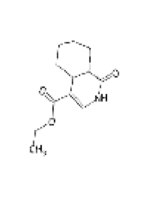 CCOC(=O)C1=CNC(=O)C2CCCCC12